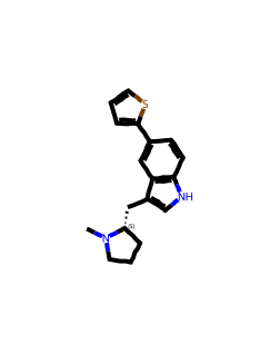 CN1CCC[C@H]1Cc1c[nH]c2ccc(-c3cccs3)cc12